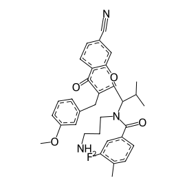 COc1cccc(Cc2c(C(C(C)C)N(CCCN)C(=O)c3ccc(C)c(F)c3)oc3cc(C#N)ccc3c2=O)c1